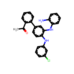 CC(=O)c1ccccc1-c1ccc(Nc2cccc(Cl)c2)c(Nc2ccccc2N)c1